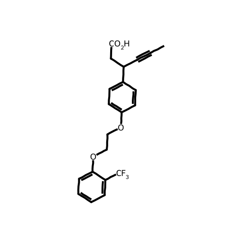 CC#CC(CC(=O)O)c1ccc(OCCOc2ccccc2C(F)(F)F)cc1